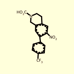 O=C(O)N1CCc2cc([N+](=O)[O-])c(-c3ccc(C(F)(F)F)cc3)cc2C1